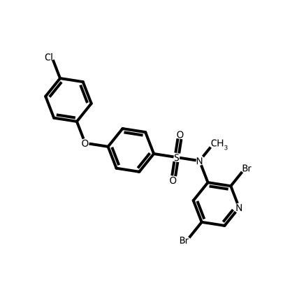 CN(c1cc(Br)cnc1Br)S(=O)(=O)c1ccc(Oc2ccc(Cl)cc2)cc1